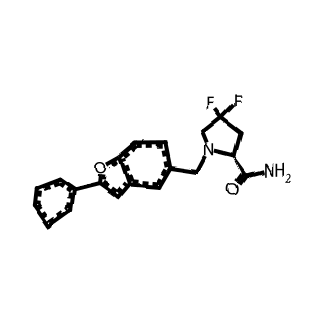 NC(=O)[C@@H]1CC(F)(F)CN1Cc1ccc2oc(-c3ccccc3)cc2c1